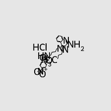 CCCCc1nc2c(N)nc3ccccc3c2n1CCCCNS(=O)(=O)c1ccc([N+](=O)[O-])cc1.Cl